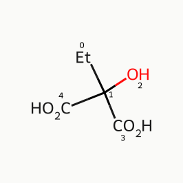 CCC(O)(C(=O)O)C(=O)O